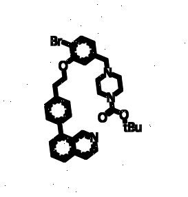 CC(C)(C)OC(=O)N1CCN(Cc2ccc(Br)c(OCCc3ccc(-c4cccc5ccncc45)cc3)c2)CC1